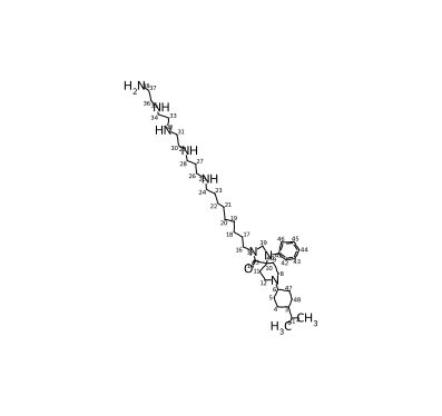 CC(C)C1CCC(N2CCC3(CC2)C(=O)N(CCCCCCCCCNCCCNCCNCCNCCN)CN3c2ccccc2)CC1